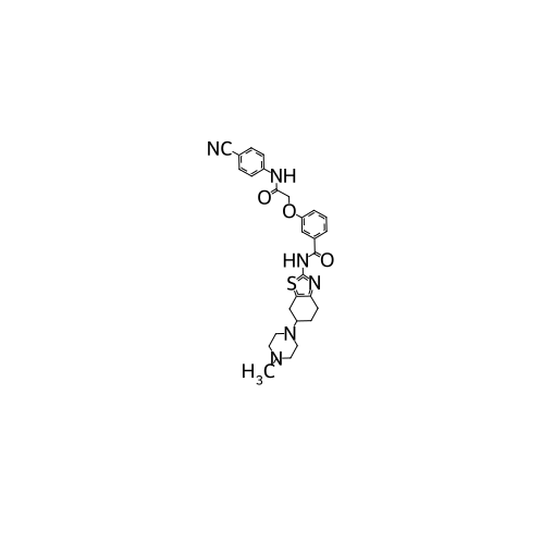 CN1CCN(C2CCc3nc(NC(=O)c4cccc(OCC(=O)Nc5ccc(C#N)cc5)c4)sc3C2)CC1